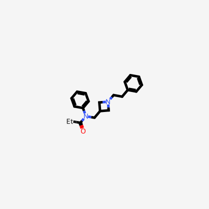 CCC(=O)N(CC1CN(CCc2ccccc2)C1)c1ccccc1